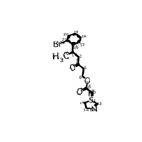 CC(CC(=O)CCOC(=O)C[SH]1C=NCC1)c1ccccc1Br